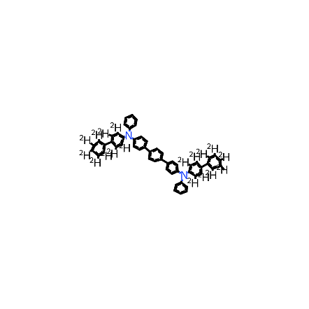 [2H]c1c([2H])c([2H])c(-c2c([2H])c([2H])c(N(c3ccccc3)c3ccc(-c4ccc(-c5ccc(N(c6ccccc6)c6c([2H])c([2H])c(-c7c([2H])c([2H])c([2H])c([2H])c7[2H])c([2H])c6[2H])cc5)cc4)cc3)c([2H])c2[2H])c([2H])c1[2H]